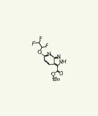 CC(C)(C)OC(=O)c1[nH]nc2nc(OC(F)C(F)F)ccc12